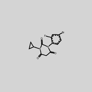 O=C1CC(=O)N(C2CC2)C(=O)N1c1ccc(Br)cc1F